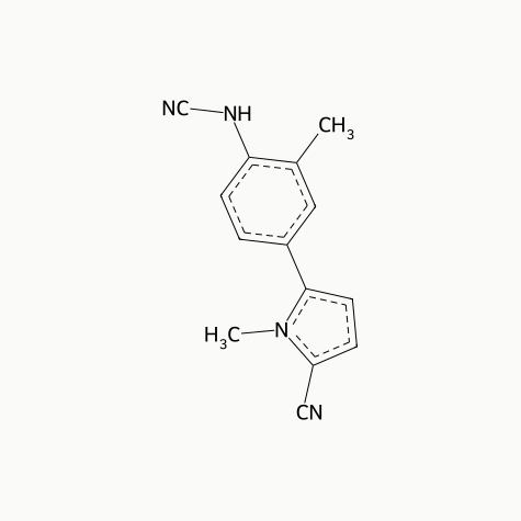 Cc1cc(-c2ccc(C#N)n2C)ccc1NC#N